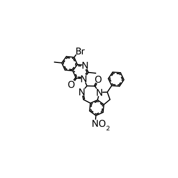 Cc1cc(Br)c2nc(C)n(C3N=Cc4cc([N+](=O)[O-])cc5c4N(C3=O)C(c3ccccc3)C5)c(=O)c2c1